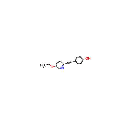 CCOc1ccc(C#Cc2ccc(O)cc2)nc1